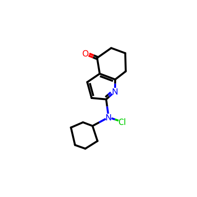 O=C1CCCc2nc(N(Cl)C3CCCCC3)ccc21